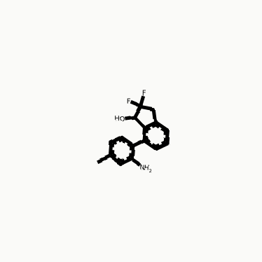 Cc1ccc(-c2cccc3c2C(O)C(F)(F)C3)c(N)c1